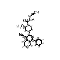 C#CCNC(=O)N1CCN(c2nc(-c3ccccc3)c3c(c2C#N)CCOC3)C[C@H]1C